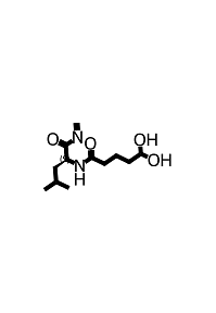 C=NC(=O)[C@H](CC(C)C)NC(=O)CCCC(O)O